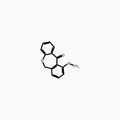 COc1cccc2c1C(=O)c1ccccc1OC2